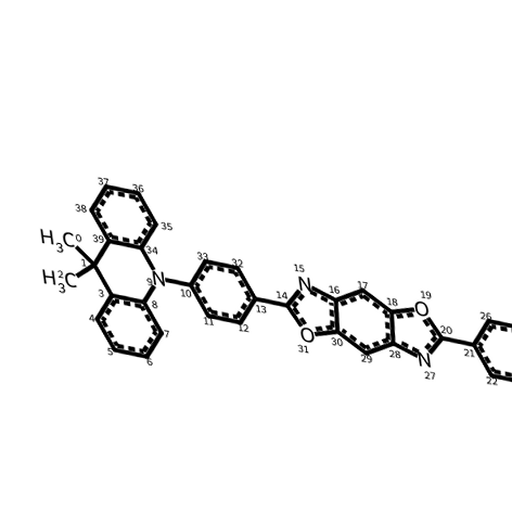 CC1(C)c2ccccc2N(c2ccc(-c3nc4cc5oc(-c6ccccc6)nc5cc4o3)cc2)c2ccccc21